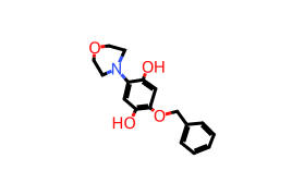 Oc1cc(N2CCOCC2)c(O)cc1OCc1ccccc1